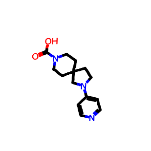 O=C(O)N1CCC2(CC1)CCN(c1ccncc1)C2